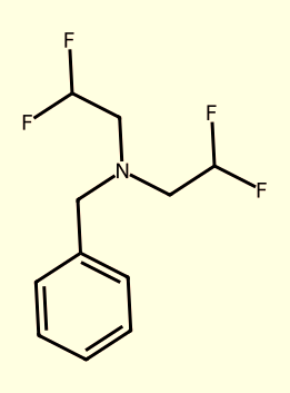 FC(F)CN(Cc1ccccc1)CC(F)F